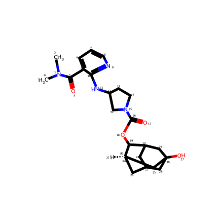 CN(C)C(=O)c1cccnc1NC1CCN(C(=O)OC2C3CC4C[C@@H]2CC(O)(C4)C3)C1